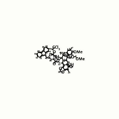 COCOc1c(OC)c(C)cc2c1[C@@H]1N[C@H](C2)[C@H](C#N)N2C1CC1(O)C(=O)C(C)=C3OCOC3=C1[C@@H]2COC(=O)[C@@H](CSCC1c2ccccc2-c2ccccc21)NC(=O)OCC(Cl)(Cl)Cl